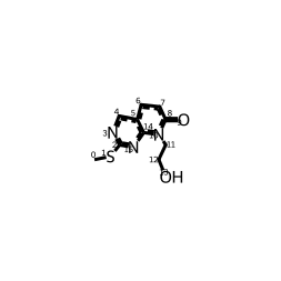 CSc1ncc2ccc(=O)n(CCO)c2n1